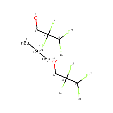 CCC[CH2][Sn+2][CH2]CCC.[O-]CC(F)(F)C(F)F.[O-]CC(F)(F)C(F)F